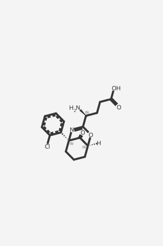 N[C@@H](CCC(=O)O)C1=N[C@]2(c3ccccc3Cl)CCC[C@H](O1)C2=O